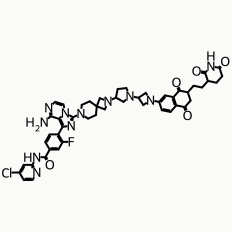 Nc1nccn2c(N3CCC4(CC3)CN(C3CCN(C5CN(c6ccc7c(c6)C(=O)C(CCC6CCC(=O)NC6=O)CC7=O)C5)C3)C4)nc(-c3ccc(C(=O)Nc4cc(Cl)ccn4)cc3F)c12